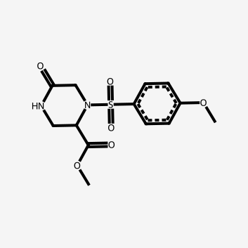 COC(=O)C1CNC(=O)CN1S(=O)(=O)c1ccc(OC)cc1